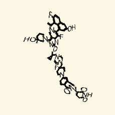 CCc1c(F)ccc2cc(O)cc(-c3ncc4c(N5CCC[C@@](C)(O)C5)nc(OCC5(CN6CCN(CC7(F)CCN(c8ccc9c(c8)CN(C8CCC(=O)NC8=O)C9=O)CC7)CC6)CC5)nc4c3F)c12